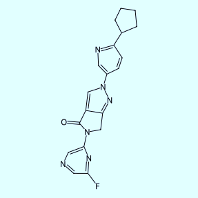 O=C1c2cn(-c3ccc(C4CCCC4)nc3)nc2CN1c1cncc(F)n1